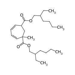 CCCCC(CC)COC(=O)C1C=CC=CC(C)(C(=O)OCC(CC)CCCC)C1